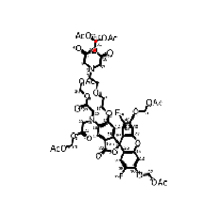 CC(=O)OCOC(=O)CN(CCOCCOc1cc2c(cc1N(CC(=O)OCOC(C)=O)CC(=O)OCOC(C)=O)C(=O)OC21c2cc(F)c(OCOC(C)=O)cc2Oc2cc(OCOC(C)=O)c(F)cc21)CC(=O)OCOC(C)=O